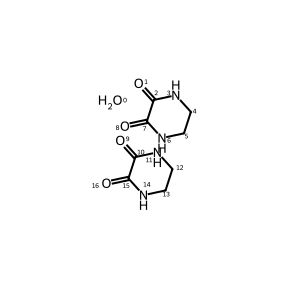 O.O=C1NCCNC1=O.O=C1NCCNC1=O